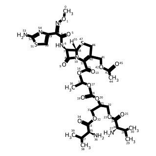 CO/N=C(\C(=O)N[C@@H]1C(=O)N2C(C(=O)OC(C)OC(=O)OC(COC(=O)[C@@H](N)C(C)C)COC(=O)[C@@H](N)C(C)C)=C(COC(C)=O)CS[C@@H]12)c1csc(N)n1